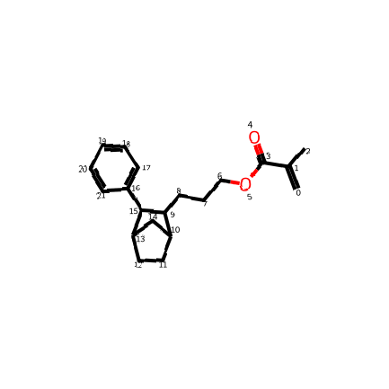 C=C(C)C(=O)OCCCC1C2CCC(C2)C1c1ccccc1